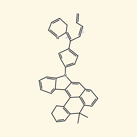 C=C/C=C\C(=C1/CC=CC=N1)c1ccc(-n2c3ccccc3c3c4c5c(cccc5cc32)C(C)(C)C2=C4CCC=C2)cc1